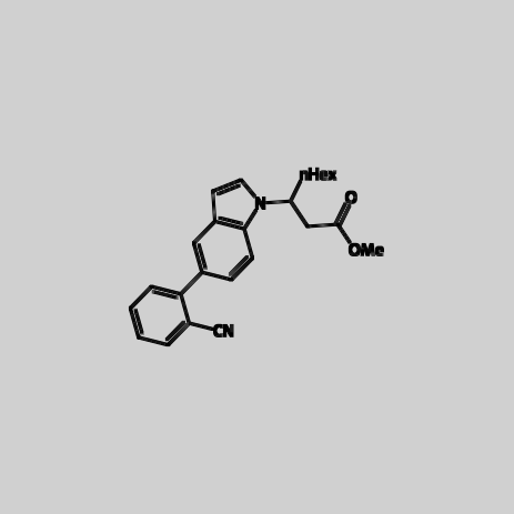 CCCCCCC(CC(=O)OC)n1ccc2cc(-c3ccccc3C#N)ccc21